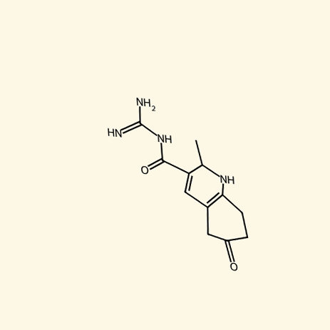 CC1NC2=C(C=C1C(=O)NC(=N)N)CC(=O)CC2